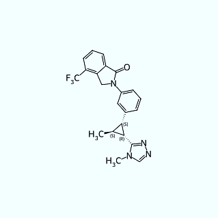 C[C@@H]1[C@@H](c2nncn2C)[C@H]1c1cccc(N2Cc3c(cccc3C(F)(F)F)C2=O)c1